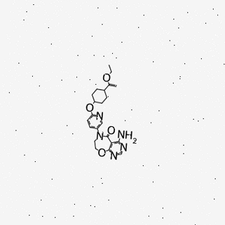 C=C(OCC)C1CCC(Oc2ccc(N3CCOc4ncnc(N)c4C3=O)cn2)CC1